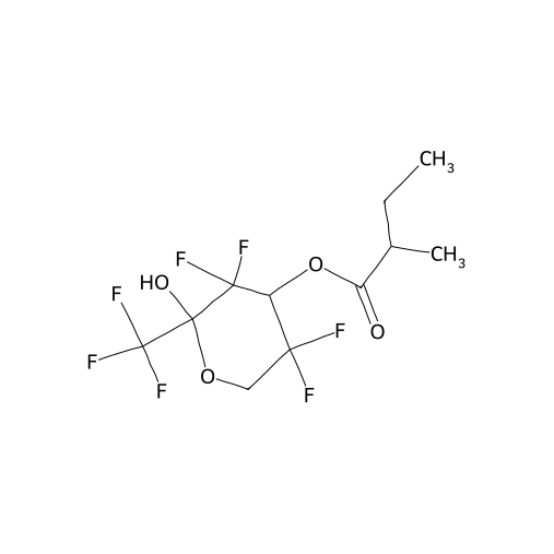 CCC(C)C(=O)OC1C(F)(F)COC(O)(C(F)(F)F)C1(F)F